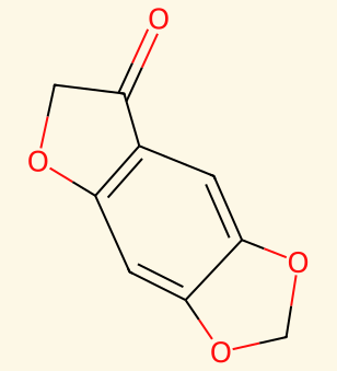 O=C1COc2cc3c(cc21)OCO3